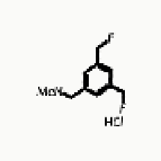 CNCc1cc(CF)cc(CF)c1.Cl